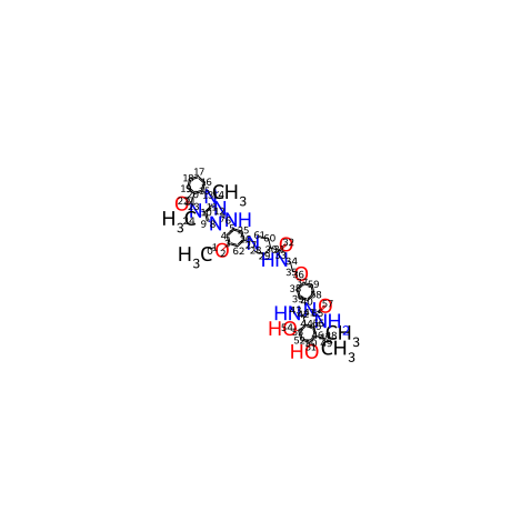 CCOc1cc(Nc2ncc3c(n2)N(C)c2ccccc2C(=O)N3C)cc(N2CCC(C(=O)NCCOc3ccc(N(C(=N)c4cc(C(C)C)c(O)cc4O)C(N)=O)cc3)CC2)c1